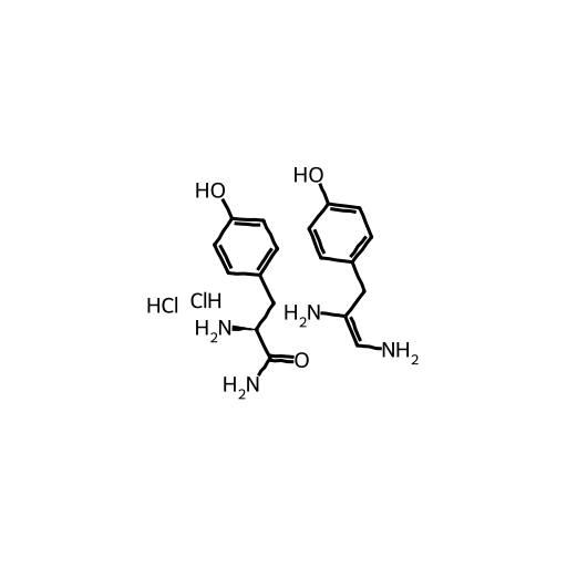 Cl.Cl.N/C=C(/N)Cc1ccc(O)cc1.NC(=O)[C@@H](N)Cc1ccc(O)cc1